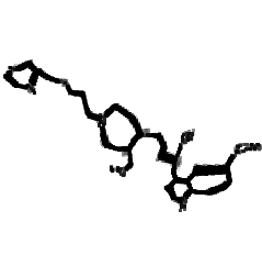 COc1ccc2nccc([C@H](O)CC[C@@H]3CCN(CCCSc4cnccn4)C[C@@H]3CO)c2c1